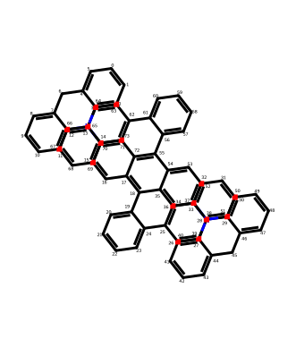 c1ccc2c(c1)Cc1ccccc1N2c1ccc2c(-c3ccccc3-c3ccc4ccccc4c3)c3cc(N4c5ccccc5Cc5ccccc54)ccc3c(-c3ccccc3-c3ccc4ccccc4c3)c2c1